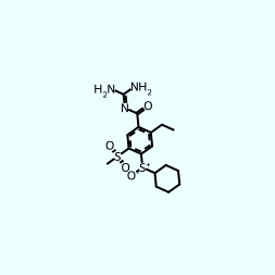 CCc1cc([S+]([O-])C2CCCCC2)c(S(C)(=O)=O)cc1C(=O)N=C(N)N